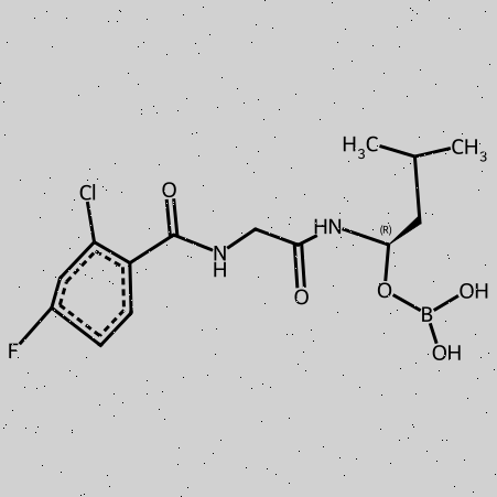 CC(C)C[C@H](NC(=O)CNC(=O)c1ccc(F)cc1Cl)OB(O)O